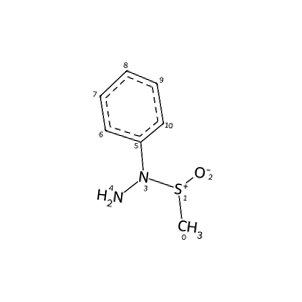 C[S+]([O-])N(N)c1ccccc1